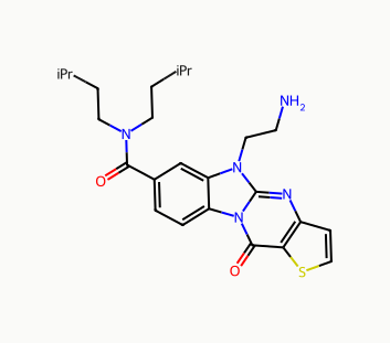 CC(C)CCN(CCC(C)C)C(=O)c1ccc2c(c1)n(CCN)c1nc3ccsc3c(=O)n21